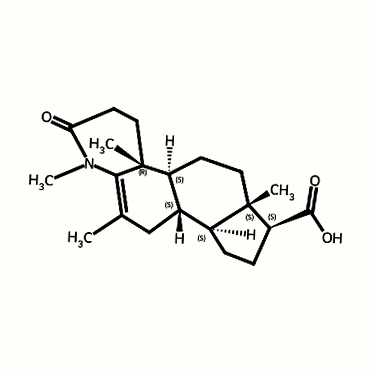 CC1=C2N(C)C(=O)CC[C@]2(C)[C@H]2CC[C@]3(C)[C@@H](C(=O)O)CC[C@H]3[C@@H]2C1